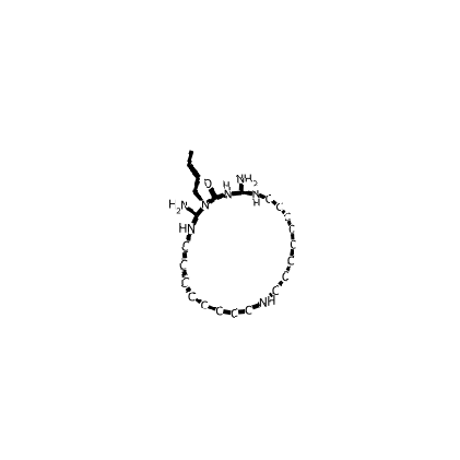 CC=CCN1C(=O)NC(N)NCCCCCCCCNCCCCCCCCNC1N